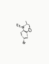 CCN1c2ccc(Br)cc2OCC1C